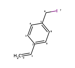 C=Cc1ccc(CI)cc1